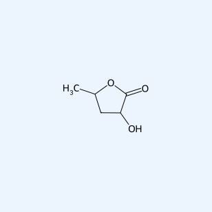 CC1CC(O)C(=O)O1